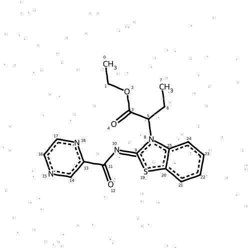 CCOC(=O)C(CC)n1c(=NC(=O)c2cnccn2)sc2ccccc21